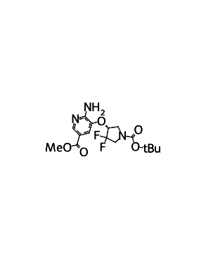 COC(=O)c1cnc(N)c(O[C@H]2CN(C(=O)OC(C)(C)C)CC2(F)F)c1